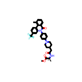 COC(=O)[C@H](C)NC(=O)CC1CCN(c2ccc(NC(=O)c3cccc(C)c3-c3ccc(C(F)(F)F)cc3)cc2)CC1